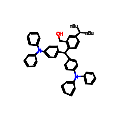 CCCCC(CCCC)c1ccc(C(c2ccc(N(c3ccccc3)c3ccccc3)cc2)c2ccc(N(c3ccccc3)c3ccccc3)cc2)c(CO)c1